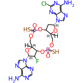 Nc1ncnc2c1ncn2[C@@H]1O[C@@H]2CO[P@@](=O)(S)OC3C[C@H](n4cnc5c(N)nc(Cl)nc54)O[C@@H]3CO[P@@](=O)(S)OC2C1F